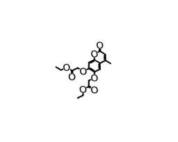 CCOC(=O)COc1cc2oc(=O)cc(C)c2cc1OCC(=O)OCC